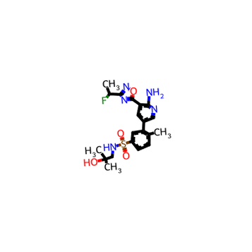 Cc1ccc(S(=O)(=O)NCC(C)(C)O)cc1-c1cnc(N)c(-c2nc(C(C)F)no2)c1